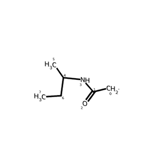 [CH2]C(=O)NC(C)CC